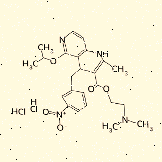 CC1=C(C(=O)OCCN(C)C)C(Cc2cccc([N+](=O)[O-])c2)c2c(ccnc2OC(C)C)N1.Cl.Cl